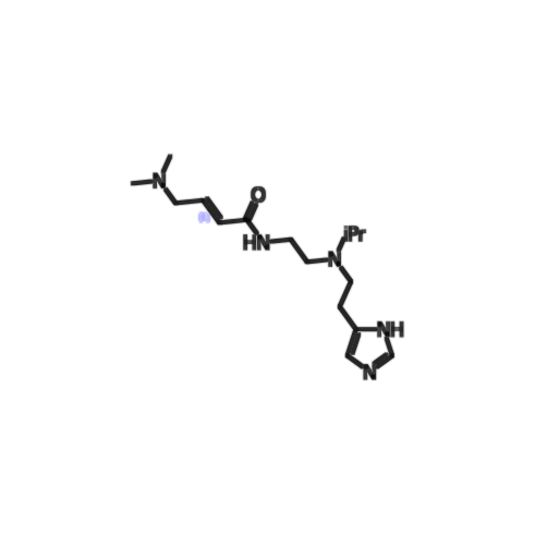 CC(C)N(CCNC(=O)/C=C/CN(C)C)CCc1cnc[nH]1